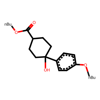 CCCCOC(=O)C1CCC(O)(c2ccc(OCCCC)cc2)CC1